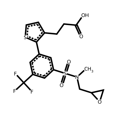 CN(CC1CO1)S(=O)(=O)c1cc(-c2sccc2CCC(=O)O)cc(C(F)(F)F)c1